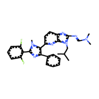 CC(C)Cn1c(N=CN(C)C)nc2ccc(-c3c(-c4ccccc4)nc(-c4c(F)cccc4F)n3C)nc21